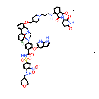 O=C1CCC(N2C(=O)c3cccc(NCCCN4CCC(COc5cccc(-c6ccc(Cl)cc6)c5CN5CCN(c6ccc(C(=O)NS(=O)(=O)c7ccc(NCC8CCOCC8)c([N+](=O)[O-])c7)c(Oc7cnc8[nH]ccc8c7)c6)CC5)CC4)c3C2=O)C(=O)N1